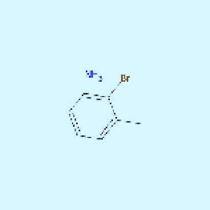 Cc1ccccc1Br.N